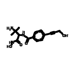 CC(C)(N)C(NC(=O)c1ccc(C#CCO)cc1)C(=O)NO